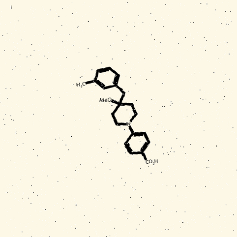 COC1(Cc2cccc(C)c2)CCN(c2ccc(C(=O)O)cc2)CC1